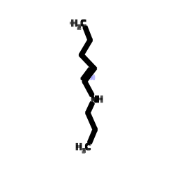 [CH2]CC/C=C/NCCC